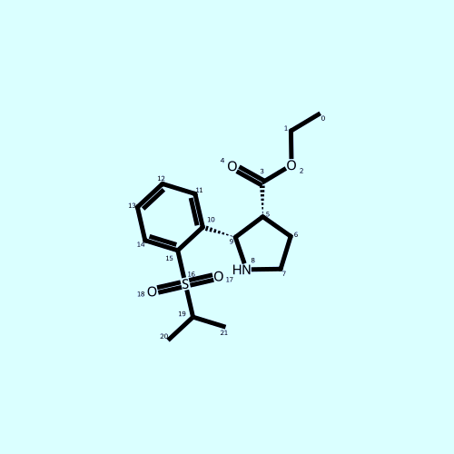 CCOC(=O)[C@@H]1CCN[C@@H]1c1ccccc1S(=O)(=O)C(C)C